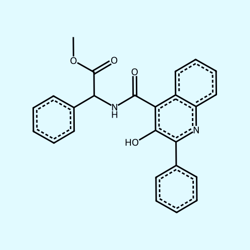 COC(=O)C(NC(=O)c1c(O)c(-c2ccccc2)nc2ccccc12)c1ccccc1